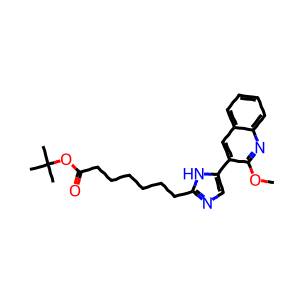 COc1nc2ccccc2cc1-c1cnc(CCCCCCC(=O)OC(C)(C)C)[nH]1